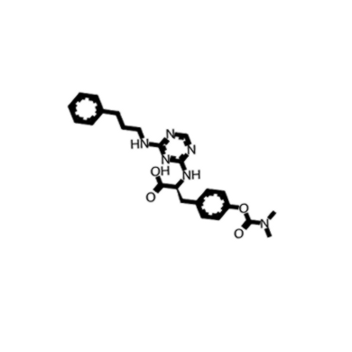 CN(C)C(=O)Oc1ccc(C[C@H](Nc2ncnc(NCCCc3ccccc3)n2)C(=O)O)cc1